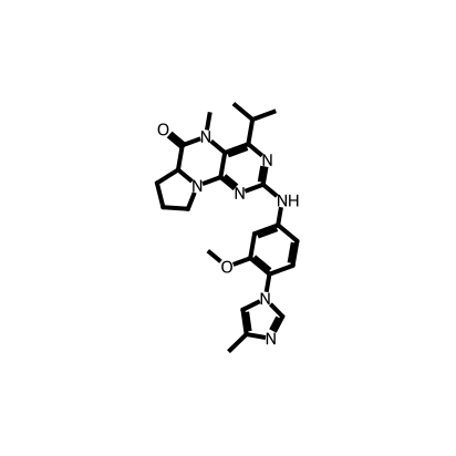 COc1cc(Nc2nc(C(C)C)c3c(n2)N2CCCC2C(=O)N3C)ccc1-n1cnc(C)c1